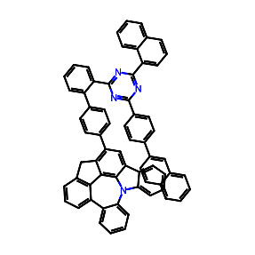 c1ccc(-c2nc(-c3ccc(-c4ccc5ccccc5c4)cc3)nc(-c3cccc4ccccc34)n2)c(-c2ccc(-c3cc4c5ccccc5n5c4c4c3Cc3cccc(c3-4)-c3ccccc3-5)cc2)c1